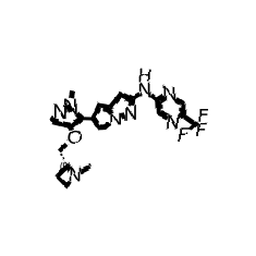 CN1CC[C@@H]1COc1cnn(C)c1-c1ccn2nc(Nc3cnc(C(F)(F)F)cn3)cc2c1